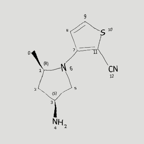 C[C@@H]1C[C@H](N)CN1c1ccsc1C#N